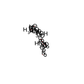 CN(Cc1ccc(OCC2=C(C(=O)O)N3C(=O)[C@@H](NC(=O)[C@@H]4N5C(=O)C[C@H]5S(=O)(=O)C4(C)C)C3SC2)cc1)S(=O)(=O)c1ccccc1-c1c2ccc(N3CCc4ccccc43)cc2[o+]c2cc(N3CCc4ccccc43)ccc12